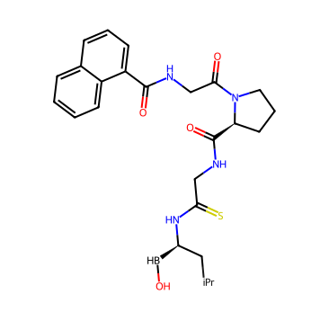 CC(C)C[C@@H](BO)NC(=S)CNC(=O)[C@@H]1CCCN1C(=O)CNC(=O)c1cccc2ccccc12